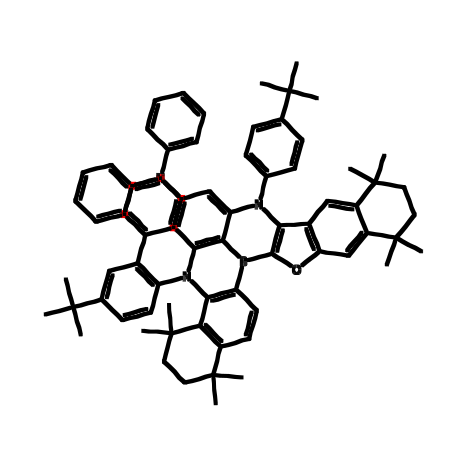 CC(C)(C)c1ccc(N2c3cc(N(c4ccccc4)c4ccccc4)cc4c3B(c3ccc5c(c3N4c3ccc(C(C)(C)C)cc3-c3ccccc3)C(C)(C)CCC5(C)C)c3oc4cc5c(cc4c32)C(C)(C)CCC5(C)C)cc1